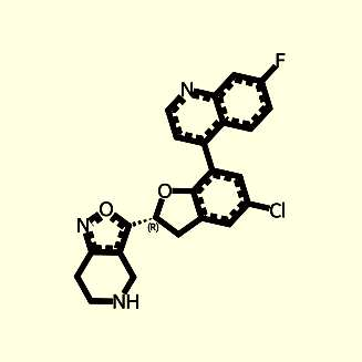 Fc1ccc2c(-c3cc(Cl)cc4c3O[C@@H](c3onc5c3CNCC5)C4)ccnc2c1